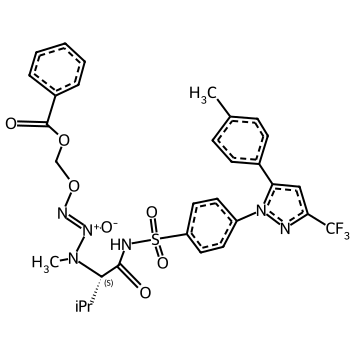 Cc1ccc(-c2cc(C(F)(F)F)nn2-c2ccc(S(=O)(=O)NC(=O)[C@H](C(C)C)N(C)[N+]([O-])=NOCOC(=O)c3ccccc3)cc2)cc1